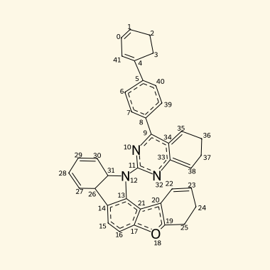 C1=CCCC(c2ccc(-c3nc(N4c5c(ccc6oc7c(c56)C=CCC7)C5C=CC=CC54)nc4c3=CCCC=4)cc2)=C1